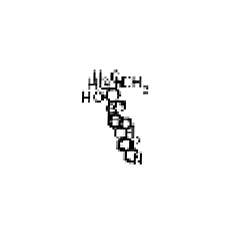 CN(C)[C@@H]1C[C@@]23CC[C@@]4(C2)C(=CC[C@]2(C)[C@@H](c5ccc6ccncc6c5)CC[C@@H]42)C=C3[C@H](O)[C@@H]1O